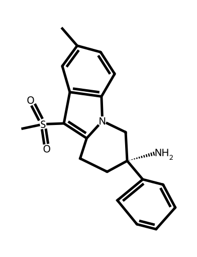 Cc1ccc2c(c1)c(S(C)(=O)=O)c1n2C[C@@](N)(c2ccccc2)CC1